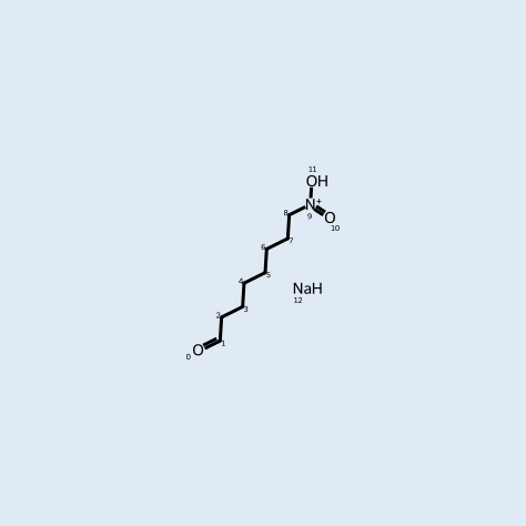 O=CCCCCCCC[N+](=O)O.[NaH]